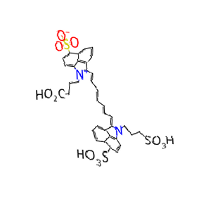 O=C(O)CCC[N+]1=C(/C=C/C=C/C=C/C=c2\c3cccc4c(S(=O)(=O)O)ccc(c43)n2CCCS(=O)(=O)O)c2cccc3c(S(=O)(=O)[O-])ccc1c23